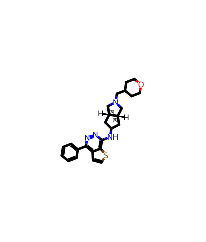 c1ccc(-c2nnc(NC3C[C@@H]4CN(CC5CCOCC5)C[C@@H]4C3)c3sccc23)cc1